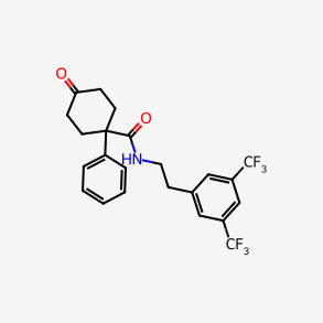 O=C1CCC(C(=O)NCCc2cc(C(F)(F)F)cc(C(F)(F)F)c2)(c2ccccc2)CC1